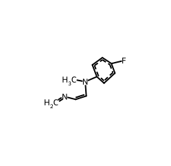 C=N/C=C\N(C)c1ccc(F)cc1